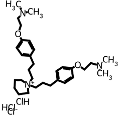 CN(C)CCOc1ccc(CCC[N+]2(CCCc3ccc(OCCN(C)C)cc3)CCCCC2)cc1.Cl.Cl.[Cl-]